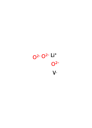 [Li+].[O-2].[O-2].[O-2].[V]